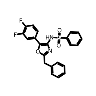 O=S(=O)(Nc1nc(Cc2ccccc2)oc1-c1ccc(F)c(F)c1)c1ccccc1